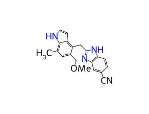 COCc1cc(C)c2[nH]ccc2c1Cc1nc2cc(C#N)ccc2[nH]1